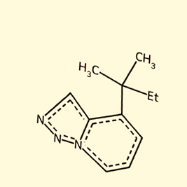 CCC(C)(C)c1cccn2nncc12